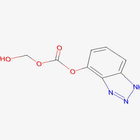 O=C(OCO)Oc1cccc2[nH]nnc12